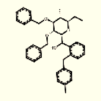 CC[C@H]1O[C@@H](C(O)c2ccccc2Cc2ccc(C)cc2)[C@H](OCc2ccccc2)[C@@H](OCc2ccccc2)[C@@H]1C